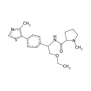 CCOCC(NC(=O)C1CCCN1C)c1ccc(-c2scnc2C)cc1